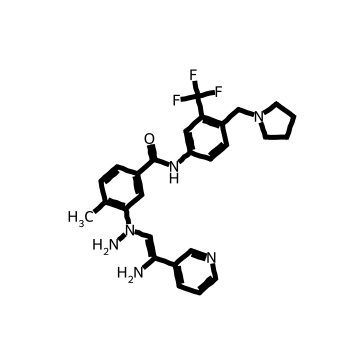 Cc1ccc(C(=O)Nc2ccc(CN3CCCC3)c(C(F)(F)F)c2)cc1N(N)/C=C(\N)c1cccnc1